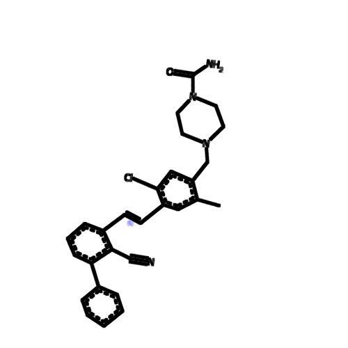 Cc1cc(/C=C/c2cccc(-c3ccccc3)c2C#N)c(Cl)cc1CN1CCN(C(N)=O)CC1